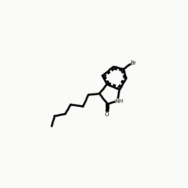 CCCCCCC1C(=O)Nc2cc(Br)ccc21